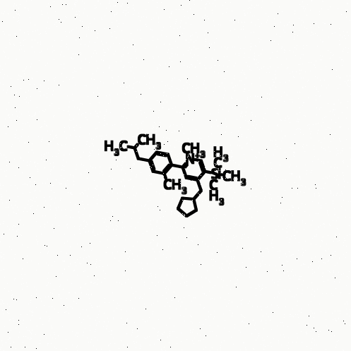 Cc1cc(CC(C)C)ccc1-c1cc(CC2CCCC2)c([Si](C)(C)C)c[n+]1C